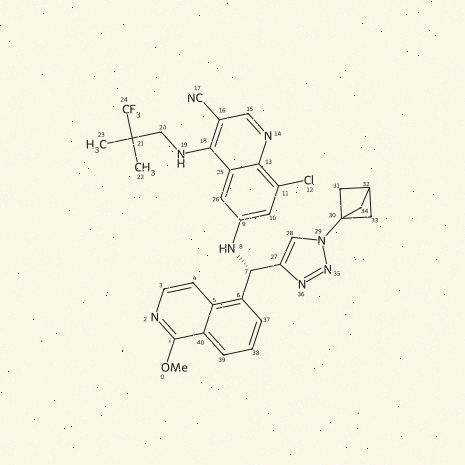 COc1nccc2c([C@H](Nc3cc(Cl)c4ncc(C#N)c(NCC(C)(C)C(F)(F)F)c4c3)c3cn(C45CC(C4)C5)nn3)cccc12